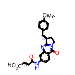 COc1ccc(/C=C2\CCn3c2nc2cc(NC(=O)/C=C/C(=O)O)ccc2c3=O)cc1